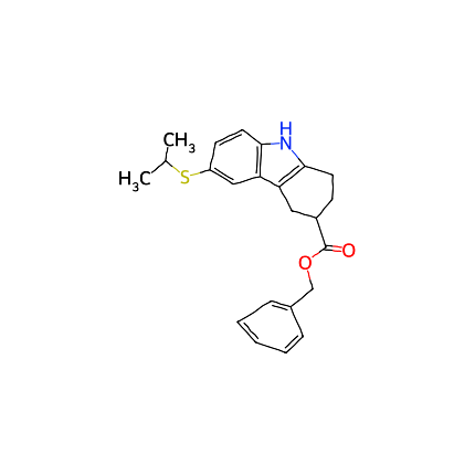 CC(C)Sc1ccc2[nH]c3c(c2c1)CC(C(=O)OCc1ccccc1)CC3